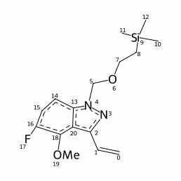 C=Cc1nn(COCC[Si](C)(C)C)c2ccc(F)c(OC)c12